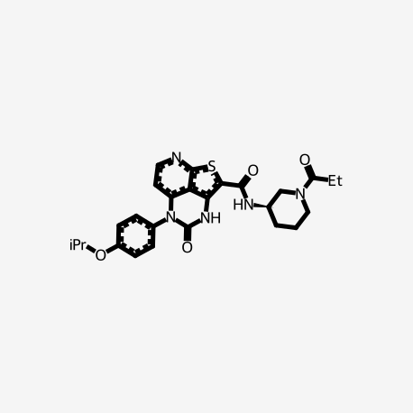 CCC(=O)N1CCC[C@@H](NC(=O)c2sc3nccc4c3c2NC(=O)N4c2ccc(OC(C)C)cc2)C1